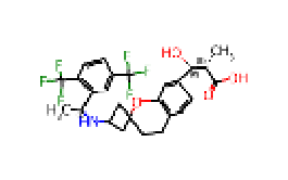 C[C@H](NC1CC2(CCc3ccc([C@H](O)[C@H](C)C(=O)O)cc3O2)C1)c1cc(C(F)(F)F)ccc1C(F)(F)F